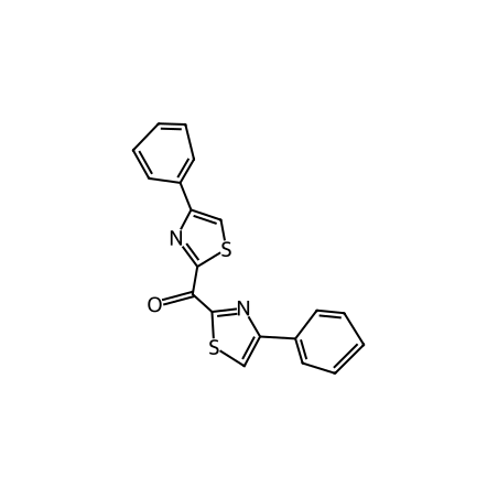 O=C(c1nc(-c2ccccc2)cs1)c1nc(-c2ccccc2)cs1